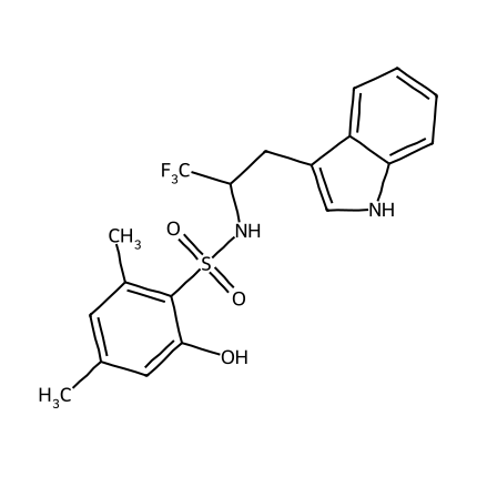 Cc1cc(C)c(S(=O)(=O)NC(Cc2c[nH]c3ccccc23)C(F)(F)F)c(O)c1